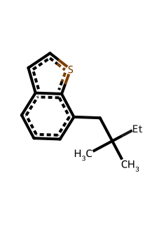 CCC(C)(C)Cc1cccc2ccsc12